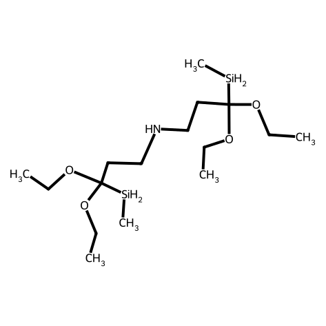 CCOC(CCNCCC(OCC)(OCC)[SiH2]C)(OCC)[SiH2]C